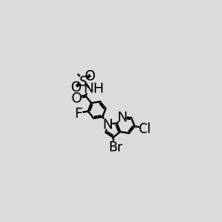 CS(=O)(=O)NC(=O)c1ccc(-n2cc(Br)c3cc(Cl)cnc32)cc1F